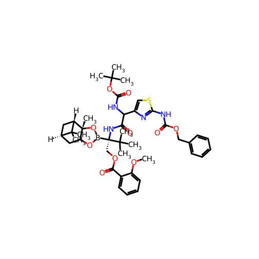 COc1ccccc1C(=O)OC[C@@](NC(=O)C(NC(=O)OC(C)(C)C)c1csc(NC(=O)OCc2ccccc2)n1)(B1OC2C[C@H]3C[C@@H](C3(C)C)[C@]2(C)O1)C(C)(C)C